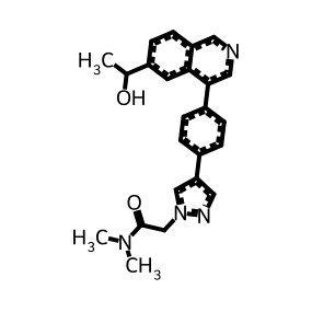 CC(O)c1ccc2cncc(-c3ccc(-c4cnn(CC(=O)N(C)C)c4)cc3)c2c1